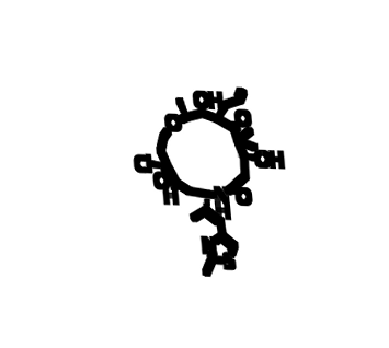 C=CC[C@H]1C(=O)C(C)(C)[C@@H](O)CC(=O)N[C@H](C(C)=Cc2csc(C)n2)C[C@@H]2O[C@]2(Cl)CCO[C@@H](C)[C@H]1O